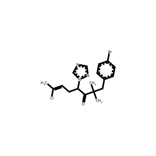 C/C(Cl)=C/CC(C(=O)C(C)(C)Cc1ccc(Br)cc1)n1cncn1